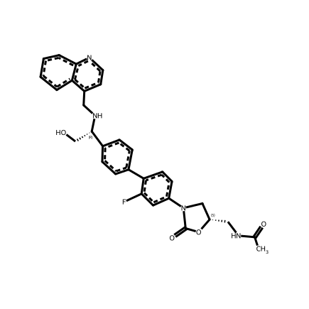 CC(=O)NC[C@H]1CN(c2ccc(-c3ccc([C@H](CO)NCc4ccnc5ccccc45)cc3)c(F)c2)C(=O)O1